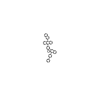 c1ccc(-c2ccc(-c3c4ccccc4cc4c3oc3ccc(-c5c6ccccc6c(-c6ccc7ccccc7c6)c6ccccc56)cc34)cc2)cc1